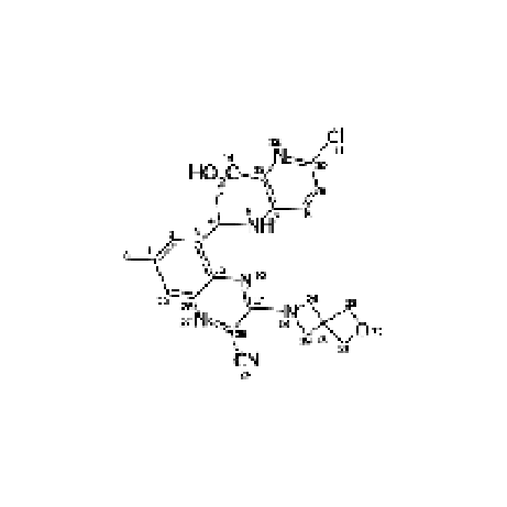 Cc1cc(C(C)Nc2ccc(Cl)nc2C(=O)O)c2nc(N3CC4(COC4)C3)c(C#N)nc2c1